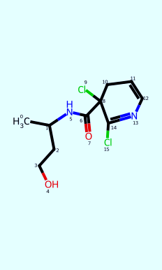 CC(CCO)NC(=O)C1(Cl)CC=CN=C1Cl